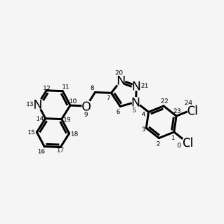 Clc1ccc(-n2cc(COc3ccnc4ccccc34)nn2)cc1Cl